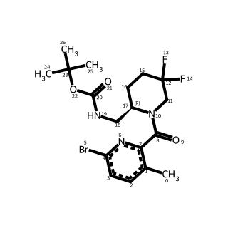 Cc1ccc(Br)nc1C(=O)N1CC(F)(F)CC[C@@H]1CNC(=O)OC(C)(C)C